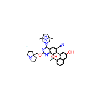 CC(O)c1cccc2cc(O)cc(-c3c(C#N)cc4c(N5CC6(C)CCC(C)(C5)N6)nc(OCC56CCCN5C[C@H](F)C6)nc4c3F)c12